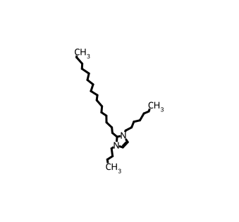 CCCCCCCCCCCCCCCCC1N(CCCC)C=CN1CCCCCCC